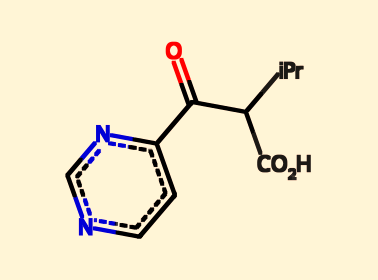 CC(C)C(C(=O)O)C(=O)c1ccncn1